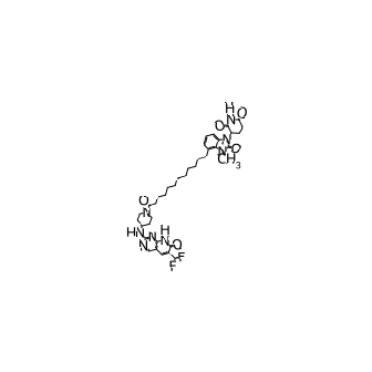 Cn1c(=O)n(C2CCC(=O)NC2=O)c2cccc(CCCCCCCCCCCC(=O)N3CCC(Nc4ncc5cc(C(F)F)c(=O)[nH]c5n4)CC3)c21